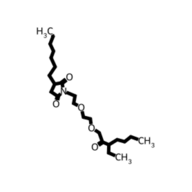 CCCCCCCC1CC(=O)N(CCOCCOCC(=O)C(CC)CCCC)C1=O